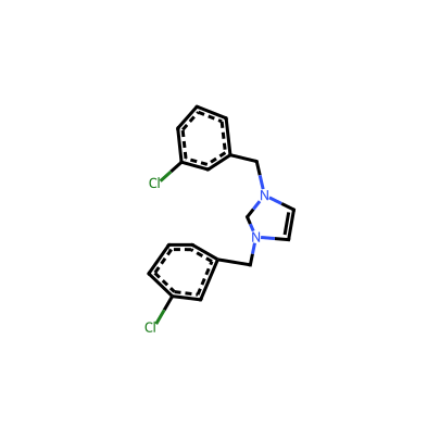 Clc1cccc(CN2C=CN(Cc3cccc(Cl)c3)C2)c1